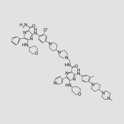 COc1cc(N2CCC(N3CCN(CNC(=O)c4nc(-c5ccncc5)c(NC5CCOCC5)nc4Nc4ccc(N5CCC(N6CCN(C)CC6)CC5)c(C)c4)CC3)CC2)ccc1Nc1nc(NC2CCOCC2)c(-c2ccccc2)nc1C(N)=O